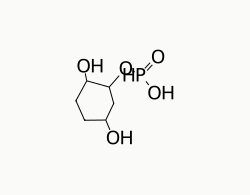 O=[PH](O)OC1CC(O)CCC1O